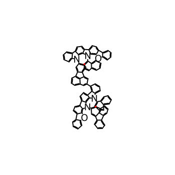 c1ccc2c(c1)-c1cccc3cc(-n4c5c(ccc6c7ccccc7oc65)c5ccc6c7c(-c8cc9c%10c(cccc%10c8)-c8cc(-n%10c%11ccccc%11c%11ccc%12c%13ccc%14c%15ccccc%15oc%14c%13n(-c%13cccc%14ccccc%13%14)c%12c%11%10)ccc8-9)cccc7n(-c7cccc8ccccc78)c6c54)cc-2c13